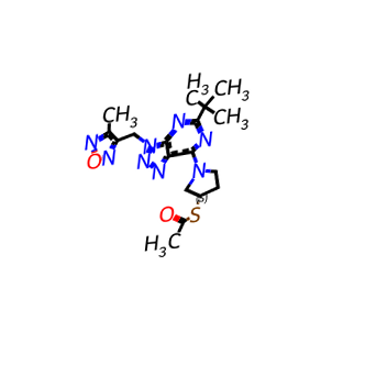 CC(=O)S[C@H]1CCN(c2nc(C(C)(C)C)nc3c2nnn3Cc2nonc2C)C1